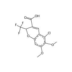 COc1cc2c(c(Cl)c1OC)C=C(C(=O)O)C(C(F)(F)F)O2